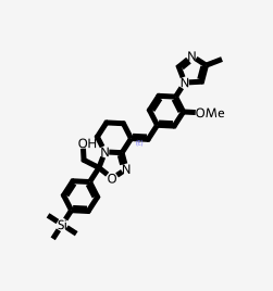 COc1cc(/C=C2\CCCN3C2=NOC3(CO)c2ccc([Si](C)(C)C)cc2)ccc1-n1cnc(C)c1